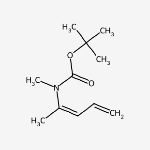 C=C/C=C(/C)N(C)C(=O)OC(C)(C)C